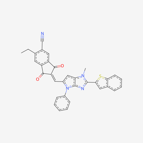 CCc1cc2c(cc1C#N)C(=O)/C(=C\c1cc3c(nc(-c4cc5ccccc5s4)n3C)n1-c1ccccc1)C2=O